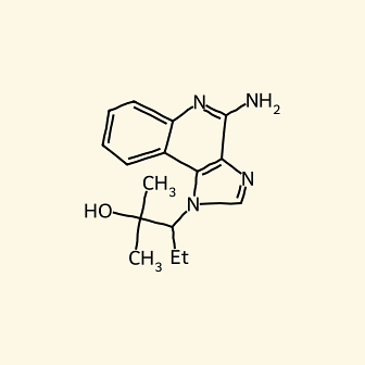 CCC(n1cnc2c(N)nc3ccccc3c21)C(C)(C)O